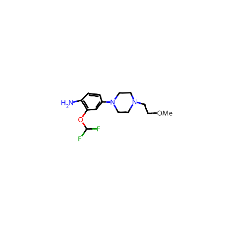 COCCN1CCN(c2ccc(N)c(OC(F)F)c2)CC1